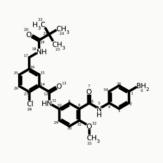 Bc1ccc(NC(=O)c2cc(NC(=O)c3cc(CNC(=O)C(C)(C)C)ccc3Cl)ccc2OC)cc1